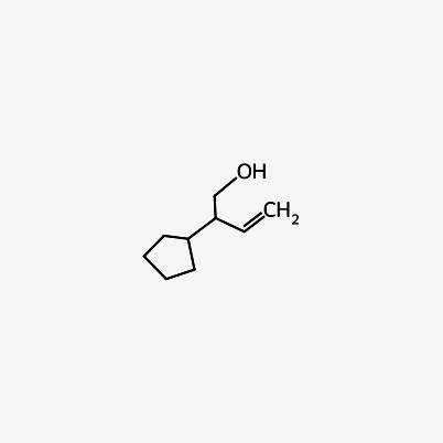 C=CC(CO)C1CCCC1